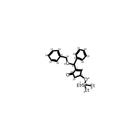 CC[Si](CC)(CC)OC1C=C(C(OCc2ccccc2)c2ccccc2)C(=O)C1